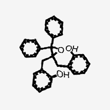 Oc1ccccc1CC1(Cc2ccccc2O)OC1(c1ccccc1)c1ccccc1